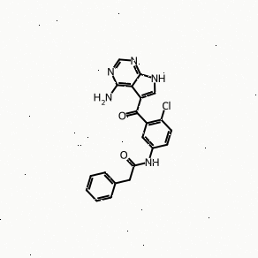 Nc1ncnc2[nH]cc(C(=O)c3cc(NC(=O)Cc4ccccc4)ccc3Cl)c12